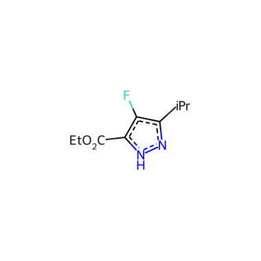 CCOC(=O)c1[nH]nc(C(C)C)c1F